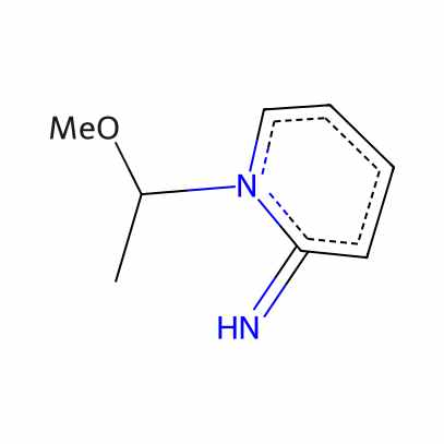 COC(C)n1ccccc1=N